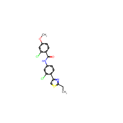 CCc1nc(-c2ccc(NC(=O)c3ccc(OC)cc3Cl)cc2Cl)cs1